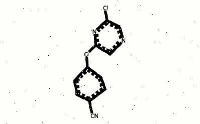 N#Cc1ccc(Oc2cncc(Cl)n2)cc1